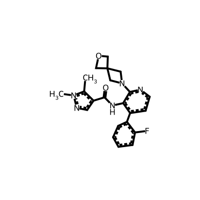 Cc1c(C(=O)Nc2c(-c3ccccc3F)ccnc2N2CC3(COC3)C2)cnn1C